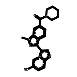 Cn1nc(-c2cnc3ccc(C#N)cn23)c2ccc(C(=O)N3CCCCC3)cc21